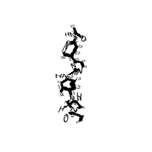 CCC(=O)N1C[C@@H]2C[C@H]1CN2c1ccc(Nc2nccc(-c3ccc(NC(C)=O)nc3)n2)cc1C